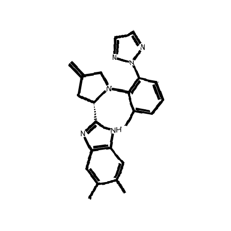 C=C1C[C@@H](c2nc3cc(C)c(C)cc3[nH]2)N(c2c(-n3nccn3)[c]ccc2C)C1